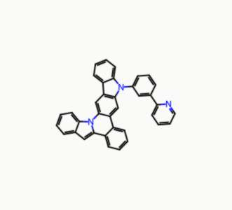 c1ccc(-c2cccc(-n3c4ccccc4c4cc5c(cc43)c3ccccc3c3cc4ccccc4n35)c2)nc1